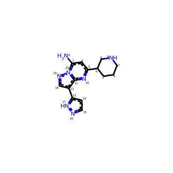 Nc1cc(C2CCCNC2)nc2c(-c3ccn[nH]3)cnn12